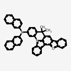 CC1(C)c2ccc(N(c3ccc4ccccc4c3)c3ccc4ccccc4c3)cc2-n2c3ccccc3c3c4oc5ccccc5c4cc1c32